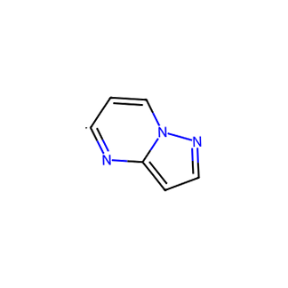 [c]1ccn2nccc2n1